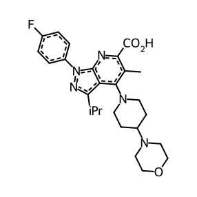 Cc1c(C(=O)O)nc2c(c(C(C)C)nn2-c2ccc(F)cc2)c1N1CCC(N2CCOCC2)CC1